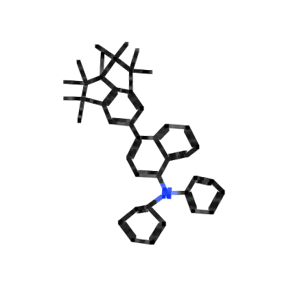 CC1(C)c2cc(-c3ccc(N(c4ccccc4)c4ccccc4)c4ccccc34)cc3c2C(C)(C1(C)C)C(C)(C)C3(C)C